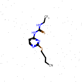 N#CCCCSc1nccc(NC(=S)NCC(F)(F)F)n1